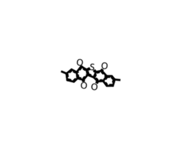 Cc1ccc2c(=O)c3c(sc4c(=O)c5cc(C)ccc5c(=O)c43)c(=O)c2c1